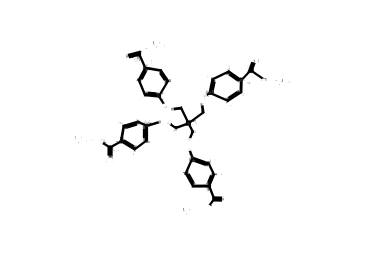 COC(=O)c1ccc(OCC(COc2ccc(C(=O)OC)cc2)(COc2ccc(C(=O)OC)cc2)COc2ccc(C(=O)OC)cc2)cc1